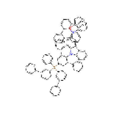 c1ccc(-c2cccc(S(c3ccccc3)(c3cccc(-c4ccccc4)c3)c3cc(-c4ccccc4)c(-n4c5ccccc5c5cc(-n6c7ccccc7c7cccc(-c8ccccc8-c8cccc9c8oc8ccccc89)c76)ccc54)c(-c4ccccc4)c3)c2)cc1